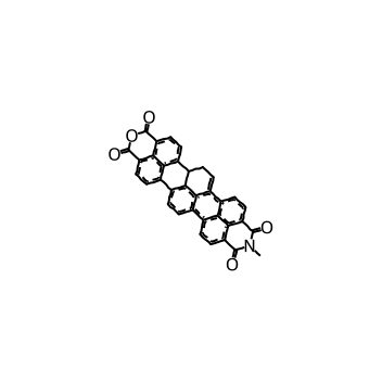 CN1C(=O)c2ccc3c4c5c6c(ccc5c5ccc(c2c35)C1=O)-c1ccc2c3c(ccc(c13)C6CC=4)C(=O)OC2=O